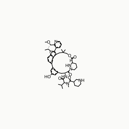 CCn1c(-c2cccnc2[C@H](C)OC)c2c3cc(ccc31)-c1cc(O)cc(c1)C[C@H](NC(=O)C(C(C)C)N(C)C(=O)C1CCCNC1)C(=O)N1CCC[C@H](N1)C(=O)OCC(C)(C)C2